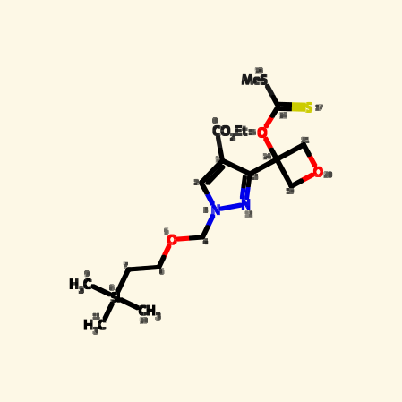 CCOC(=O)c1cn(COCC[Si](C)(C)C)nc1C1(OC(=S)SC)COC1